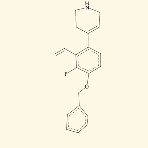 C=Cc1c(C2=CCNCC2)ccc(OCc2ccccc2)c1F